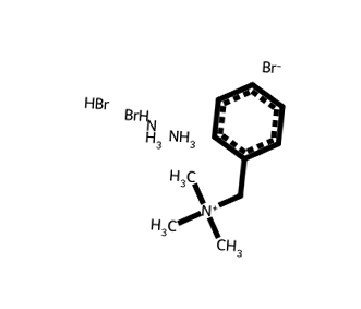 Br.Br.C[N+](C)(C)Cc1ccccc1.N.N.[Br-]